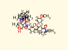 COc1ccc(COc2c(CN3O[C@@H](CO)[C@@H]([C@H](C)O)[C@H]3C(=O)N[C@H]3C[C@H]4C[C@@H]([C@@H]3C)C4(C)C)cccc2-c2ccc(C(=O)N(C)C)cc2)cc1